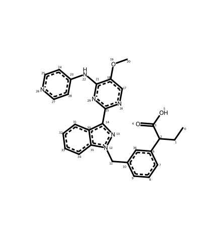 CCC(C(=O)O)c1cccc(Cn2nc(-c3ncc(OC)c(Nc4ccncc4)n3)c3ccccc32)c1